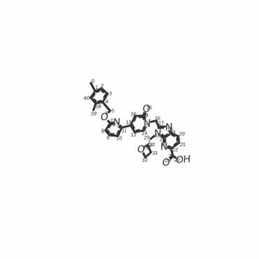 Cc1ccc(COc2cccc(-c3ccn(Cc4nc5ccc(C(=O)O)nc5n4C[C@@H]4CCO4)c(=O)c3)n2)c(C)c1